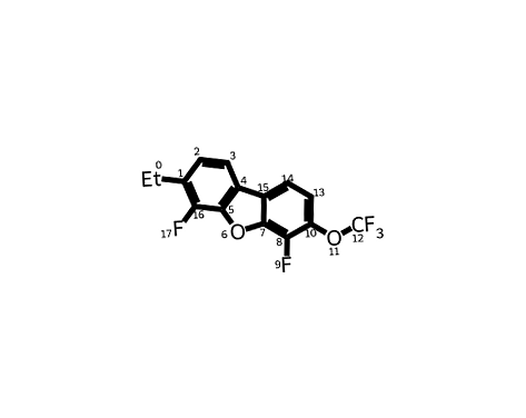 CCc1ccc2c(oc3c(F)c(OC(F)(F)F)ccc32)c1F